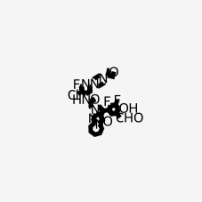 O=Cc1cc(-c2cn(CC(=O)Nc3cc(N4CCN(C5COC5)CC4)nc(F)c3Cl)c3nc4n(c(=O)c23)CCCCC4)c(F)c(F)c1O